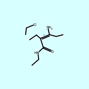 CCCl.CCNC(=O)/C(CC)=C(/N)CC